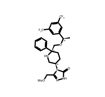 COCc1n[nH]c(=O)n1[C@@H]1CC[C@@](CO[C@H](C)c2cc(C(F)(F)F)cc(C(F)(F)F)c2)(c2ccccc2)NC1